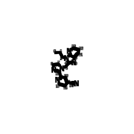 CCCn1c(Cn2ccnc2-c2cc(C#N)ccn2)nc2cccnc21